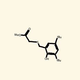 COC(=O)CSCc1cc(C(C)(C)C)cc(C(C)(C)C)c1O